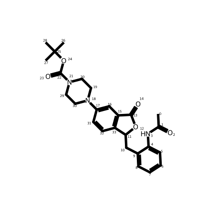 CC(=O)Nc1ccccc1CC1OC(=O)c2cc(N3CCN(C(=O)OC(C)(C)C)CC3)ccc21